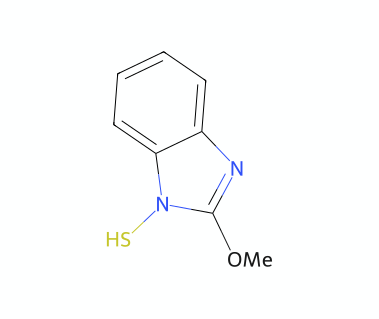 COc1nc2ccccc2n1S